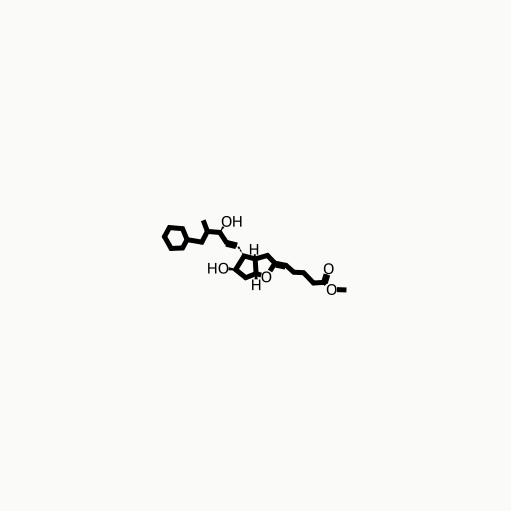 COC(=O)CCC/C=C1/C[C@@H]2[C@@H](/C=C/[C@@H](O)C(C)CC3CCCCC3)[C@H](O)C[C@H]2O1